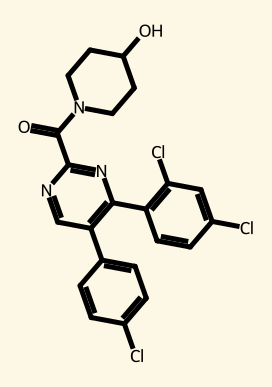 O=C(c1ncc(-c2ccc(Cl)cc2)c(-c2ccc(Cl)cc2Cl)n1)N1CCC(O)CC1